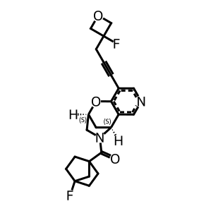 O=C(N1C[C@@H]2C[C@H]1c1cncc(C#CCC3(F)COC3)c1O2)C12CCC(F)(CC1)C2